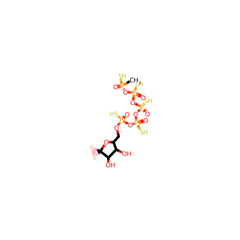 CP(=O)(S)OP(=O)(S)OP(=O)(S)OP(=O)(S)OP(=O)(S)OCC1OC2(B=B2)C(O)C1O